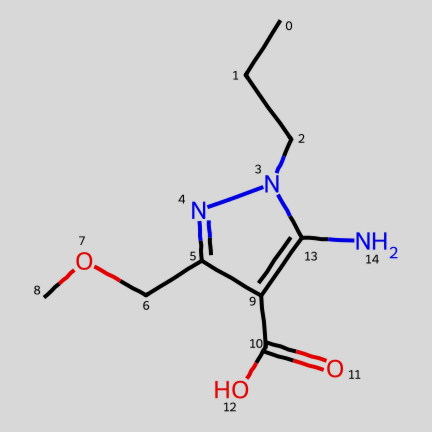 CCCn1nc(COC)c(C(=O)O)c1N